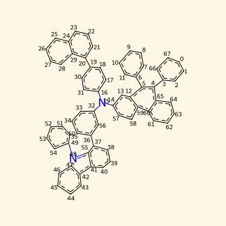 c1ccc(-c2c(-c3ccccc3)c3cc(N(c4ccc(-c5cccc6ccccc56)cc4)c4cccc(-c5cccc6c7ccccc7n(-c7ccccc7)c56)c4)ccc3c3ccccc23)cc1